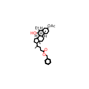 CC[C@H]1[C@@H](O)[C@@H]2[C@H](CC[C@]3(C)C([C@H](C)CCC(=O)OCc4ccccc4)CC[C@@H]23)[C@@]2(C)CC[C@@H](OC(C)=O)C[C@@H]12